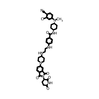 CN(c1ccc(C#N)c(Cl)c1)[C@H]1CC[C@H](NC(=O)c2ccc(NCCNC3CCN(c4ccc5c(c4)C(=O)N(C4CCC(=O)NC4=O)C5=O)CC3)cc2)CC1